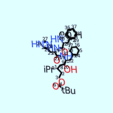 CC(C)[C@@H](CCOC(=O)C(C)(C)C)C[C@@H](O)[C@H](CC1CCCCC1)NC(=O)[C@@H](Cc1c[nH]cn1)NC(=O)[C@H](Cc1ccccc1)NC(=O)O